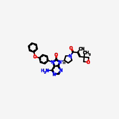 CC1(C=C(C#N)C(=O)N2CC[C@H](n3c(=O)n(-c4ccc(Oc5ccccc5)cc4)c4c(N)ncnc43)C2)COC1